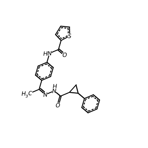 CC(=NNC(=O)C1CC1c1ccccc1)c1ccc(NC(=O)c2cccs2)cc1